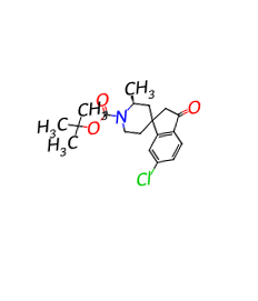 C[C@H]1CC2(CCN1C(=O)OC(C)(C)C)CC(=O)c1ccc(Cl)cc12